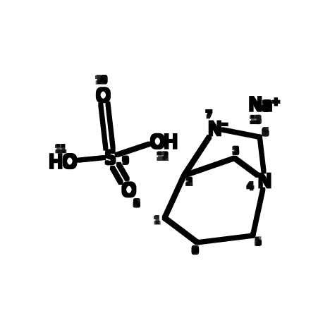 C1CC2CN(C1)C[N-]2.O=S(=O)(O)O.[Na+]